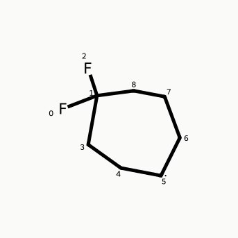 FC1(F)CC[CH]CCC1